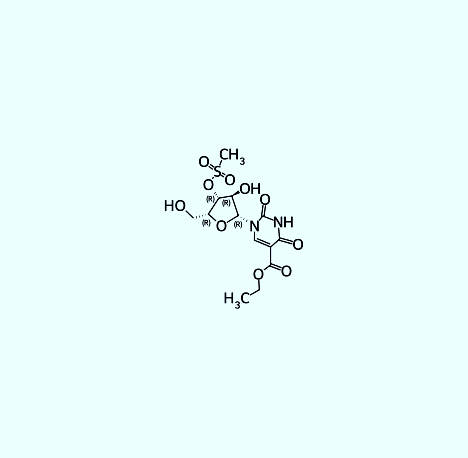 CCOC(=O)c1cn([C@@H]2O[C@H](CO)[C@H](OS(C)(=O)=O)[C@H]2O)c(=O)[nH]c1=O